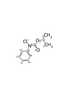 CC(C)OC(=O)N(Cl)c1ccccc1